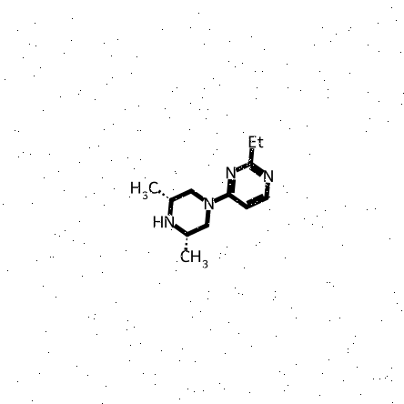 [CH2]Cc1nccc(N2C[C@@H](C)N[C@@H](C)C2)n1